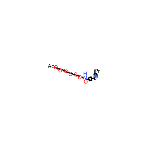 CC(=O)COCCOCCOCCOCCOCCOCCNC(=O)c1ccc(C(C)n2cc(C(C)C)cn2)cc1